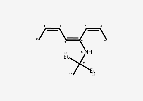 C\C=C/C=C(\C=C/C)NC(C)(CC)CC